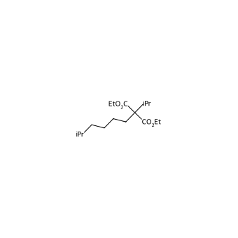 CCOC(=O)C(CCCCC(C)C)(C(=O)OCC)C(C)C